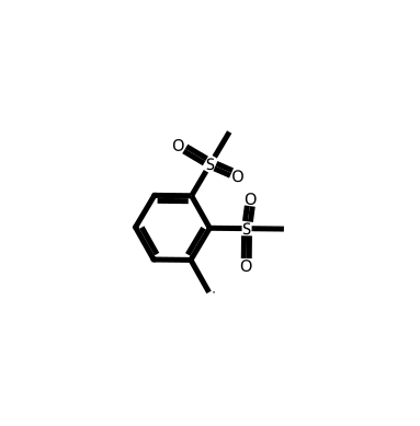 [CH2]c1cccc(S(C)(=O)=O)c1S(C)(=O)=O